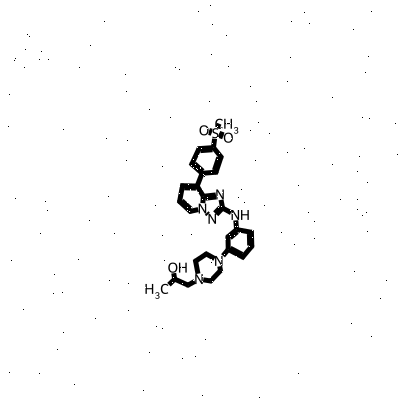 CC(O)CN1CCN(c2cccc(Nc3nc4c(-c5ccc(S(C)(=O)=O)cc5)cccn4n3)c2)CC1